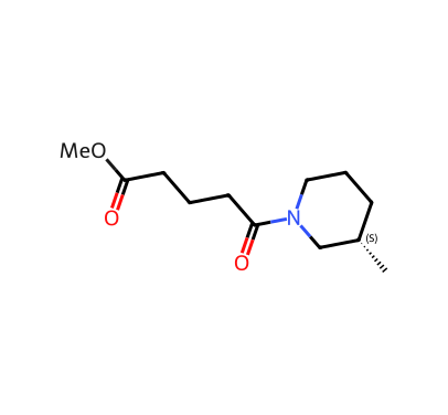 COC(=O)CCCC(=O)N1CCC[C@H](C)C1